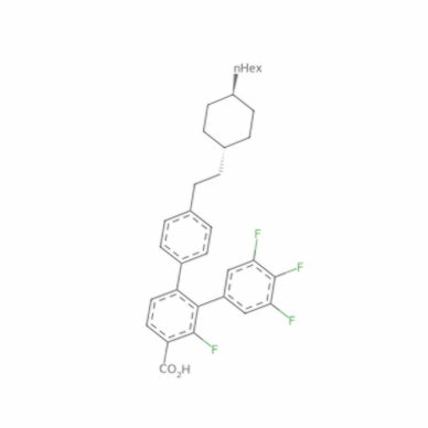 CCCCCC[C@H]1CC[C@H](CCc2ccc(-c3ccc(C(=O)O)c(F)c3-c3cc(F)c(F)c(F)c3)cc2)CC1